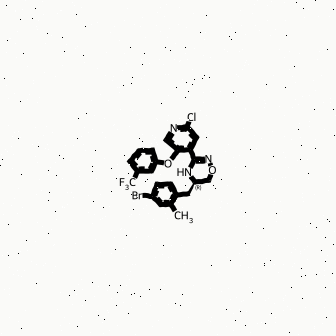 Cc1cc(Br)ccc1C[C@@H]1CON=C(c2cc(Cl)ncc2Oc2cccc(C(F)(F)F)c2)N1